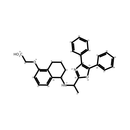 CC(NC1CCCc2c(OCC(=O)O)cccc21)c1nc(-c2ccccc2)c(-c2ccccc2)o1